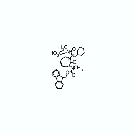 CN(CC(=O)O)C(=O)[C@H](CC1CCCCC1)N1CCC=CCC(N(C)C(=O)OCC2c3ccccc3-c3ccccc32)C1=O